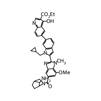 CCOC(=O)c1cnc2ccc(-c3ccc4cc(-c5nc6cc(C(=O)N7CC8CCC7C8N)cc(OC)c6n5C)n(CC5CC5)c4c3)cc2c1O